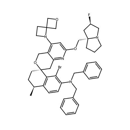 C[C@H]1CC[C@]2(Cc3nc(OC[C@@]45CCCN4C[C@H](F)C5)cc(N4CCC45COC5)c3CO2)c2c1ccc(N(Cc1ccccc1)Cc1ccccc1)c2Br